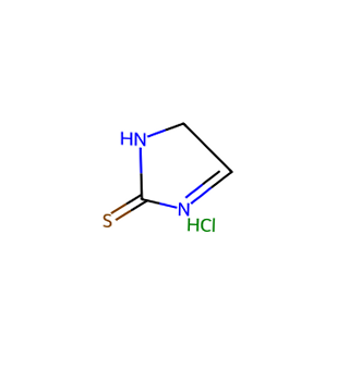 Cl.S=C1N=CCN1